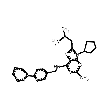 CC(N)Cc1nc2c(NCc3ccc(-c4ccccn4)nc3)nc(N)nc2n1C1CCCC1